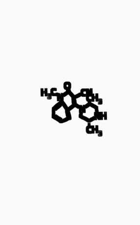 C[C@@H]1CN(c2c(C#N)c(=O)n(C)c3ccccc23)[C@@H](C)CN1